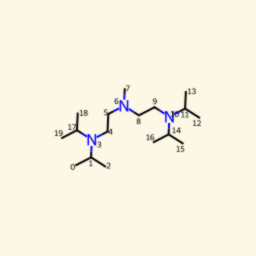 CC(C)N(CCN(C)CCN(C(C)C)C(C)C)C(C)C